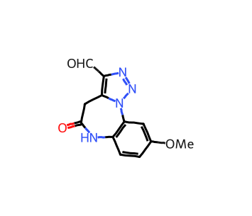 COc1ccc2c(c1)-n1nnc(C=O)c1CC(=O)N2